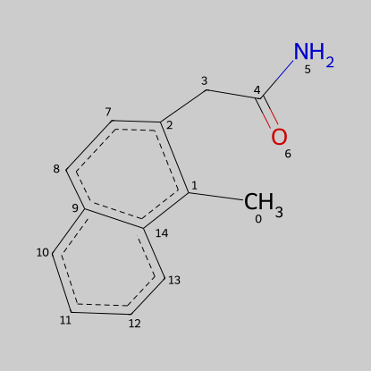 Cc1c(CC(N)=O)ccc2ccccc12